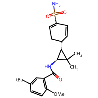 COc1ccc(C(C)(C)C)cc1C(=O)N[C@H]1[C@H](C2C=CC(S(N)(=O)=O)=CC2)C1(C)C